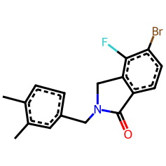 Cc1ccc(CN2Cc3c(ccc(Br)c3F)C2=O)cc1C